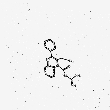 CCC(C)Cc1c(-c2ccccc2)nc2ccccc2c1C(=O)NC(=N)N